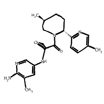 Cc1ccc([C@H]2CC[C@H](C)CN2C(=O)C(=O)Nc2cnc(N)c(C)c2)nc1